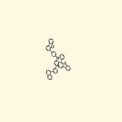 C1#CCC(c2ccccc2N(C2=CC=C(c3cccc4c3oc3ccccc34)CC2)c2ccc(-c3cccc(-c4cccc5ccccc45)c3)cc2)=c2sc3ccccc3c2=C1